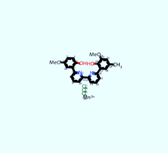 COc1ccc(O)c(-c2cccc(-c3cccc(-c4cc(C)cc(OC)c4O)n3)n2)c1.[Cl-].[Cl-].[Cl-].[Mn+3]